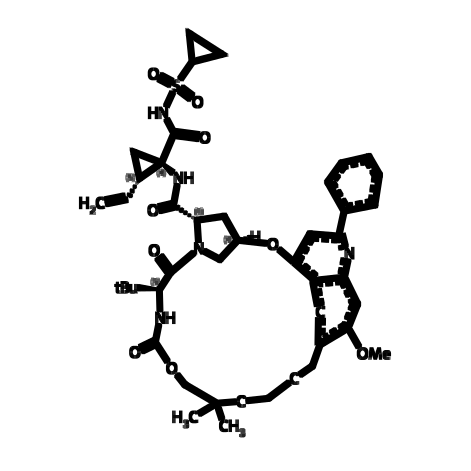 C=C[C@@H]1C[C@]1(NC(=O)[C@@H]1C[C@@H]2CN1C(=O)[C@H](C(C)(C)C)NC(=O)OCC(C)(C)CCCCc1cc3c(cc(-c4ccccc4)nc3cc1OC)O2)C(=O)NS(=O)(=O)C1CC1